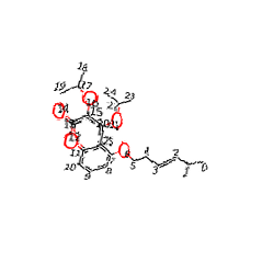 CCC=CCCOc1cccc2oc(=O)c(OC(C)C)c(OC(C)C)c12